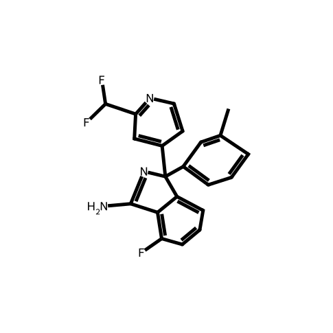 Cc1cccc(C2(c3ccnc(C(F)F)c3)N=C(N)c3c(F)cccc32)c1